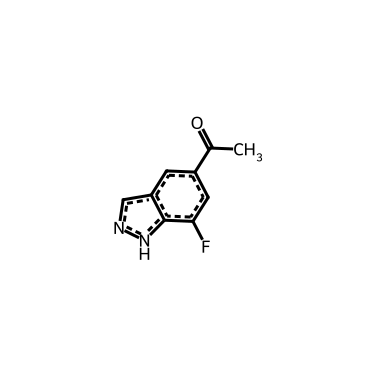 CC(=O)c1cc(F)c2[nH]ncc2c1